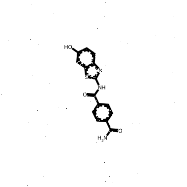 NC(=O)c1ccc(C(=O)Nc2nc3ccc(O)cc3s2)cc1